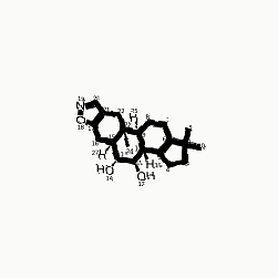 CC1(C)CCC2=C1CC[C@H]1[C@H]2[C@@H](O)[C@H](O)[C@H]2Cc3oncc3C[C@@]21C